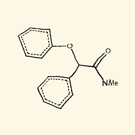 CNC(=O)C(Oc1ccccc1)c1ccccc1